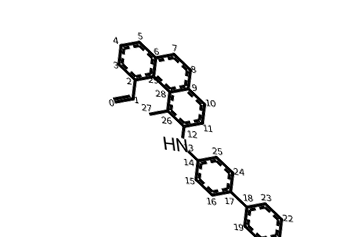 C=Cc1cccc2ccc3ccc(Nc4ccc(-c5ccccc5)cc4)c(C)c3c12